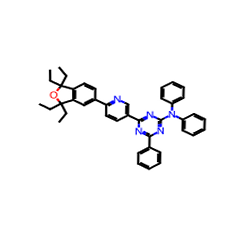 CCC1(CC)OC(CC)(CC)c2cc(-c3ccc(-c4nc(-c5ccccc5)nc(N(c5ccccc5)c5ccccc5)n4)cn3)ccc21